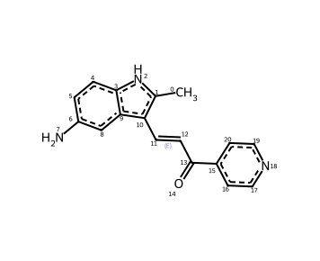 Cc1[nH]c2ccc(N)cc2c1/C=C/C(=O)c1ccncc1